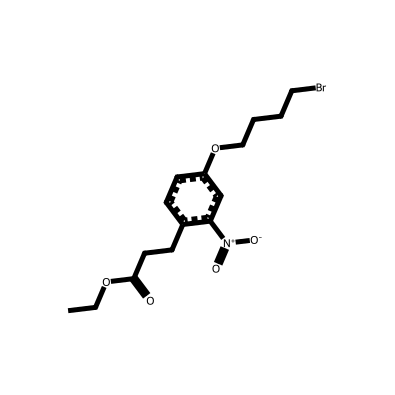 CCOC(=O)CCc1ccc(OCCCCBr)cc1[N+](=O)[O-]